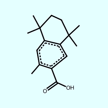 Cc1cc2c(cc1C(=O)O)C(C)(C)CCC2(C)C